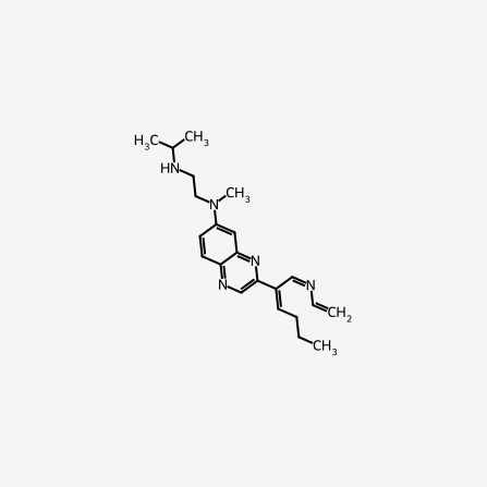 C=C/N=C\C(=C/CCC)c1cnc2ccc(N(C)CCNC(C)C)cc2n1